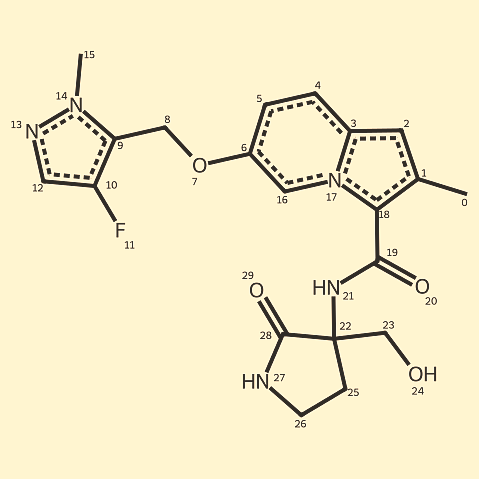 Cc1cc2ccc(OCc3c(F)cnn3C)cn2c1C(=O)NC1(CO)CCNC1=O